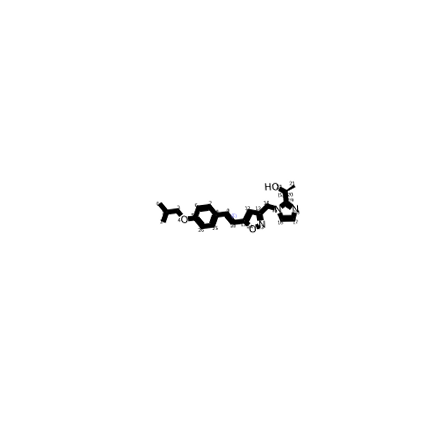 CC(C)COc1ccc(/C=C/c2cc(Cn3ccnc3[C@H](C)O)no2)cc1